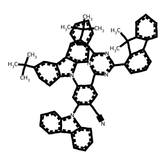 CC(C)(C)c1ccc2c(c1)c1cc(C(C)(C)C)ccc1n2-c1cc(-n2c3ccccc3c3ccccc32)c(C#N)cc1-c1nc(-c2ccccc2)nc(-c2cccc3c2C(C)(C)c2ccccc2-3)n1